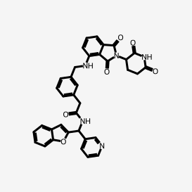 O=C1CCC(N2C(=O)c3cccc(NCc4cccc(CC(=O)NC(c5cccnc5)c5cc6ccccc6o5)c4)c3C2=O)C(=O)N1